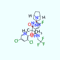 CC(C)(Oc1ncc(Cl)cc1Cl)C(=O)N[C@H]1C[C@H]2CC[C@@H](C1)N2c1ncc(C(=O)NCC(F)(F)F)cc1F